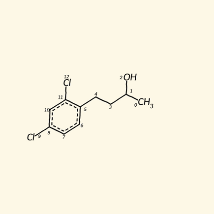 CC(O)CCc1ccc(Cl)cc1Cl